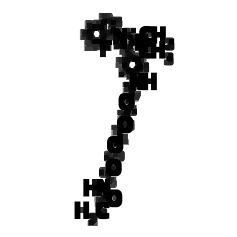 C=CC(=O)NCCOCCOCCOCCOCCNc1ccc([C@H]2CN(C3CCc4cccc(F)c43)C[C@@H]2N(C)C)cc1